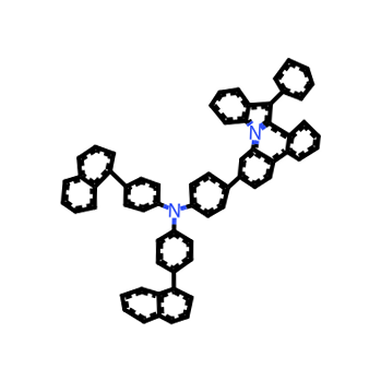 c1ccc(-c2c3ccccc3n3c4cc(-c5ccc(N(c6ccc(-c7cccc8ccccc78)cc6)c6ccc(-c7cccc8ccccc78)cc6)cc5)ccc4c4ccccc4c23)cc1